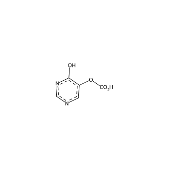 O=C(O)Oc1cncnc1O